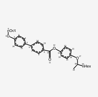 CCCCCCCCOc1ccc(-c2ccc(C(=O)Oc3ccc(OC(C)CCCCCC)cc3)cc2)cc1